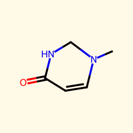 CN1C=CC(=O)NC1